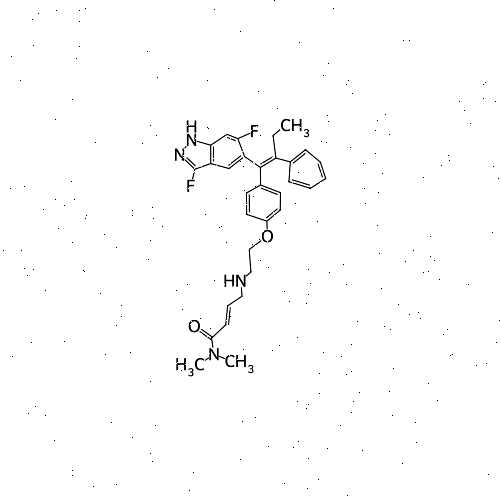 CCC(=C(c1ccc(OCCNCC=CC(=O)N(C)C)cc1)c1cc2c(F)n[nH]c2cc1F)c1ccccc1